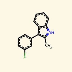 Cc1[nH]c2ccccc2c1-c1cccc(F)c1